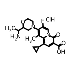 Cc1c(N2CCOC(C(C)N)C2)c(F)cn2c(=O)c(C(=O)O)cc(C3CC3)c12.Cl